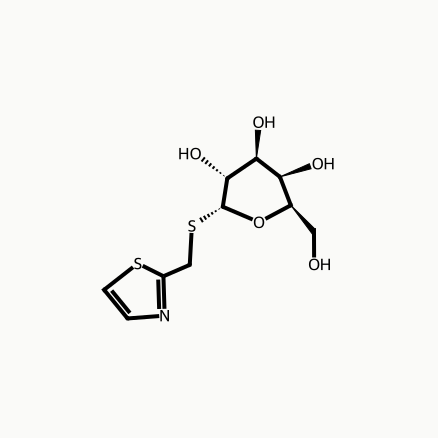 OC[C@H]1O[C@H](SCc2nccs2)[C@H](O)[C@@H](O)[C@H]1O